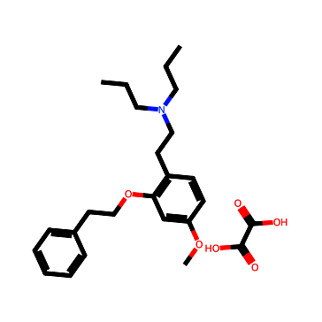 CCCN(CCC)CCc1ccc(OC)cc1OCCc1ccccc1.O=C(O)C(=O)O